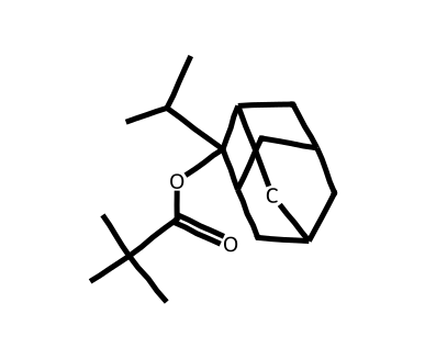 CC(C)C1(OC(=O)C(C)(C)C)C2CC3CC(C2)CC1C3